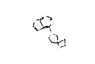 c1nc(N2CCC3(CCN3)C2)c2cc[nH]c2n1